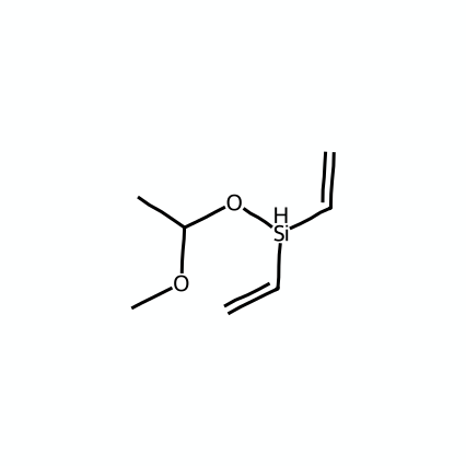 C=C[SiH](C=C)OC(C)OC